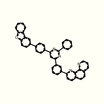 c1ccc(-c2nc(-c3ccc(-c4ccc5oc6ccccc6c5c4)cc3)cc(-c3cccc(-c4ccc5ccc6cccnc6c5n4)c3)n2)cc1